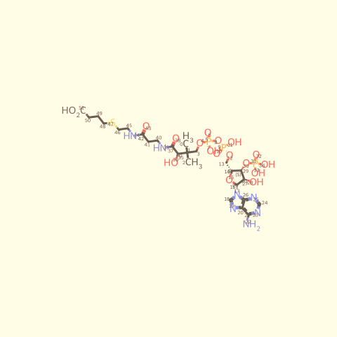 CC(C)(COP(=O)(O)OP(=O)(O)OC[C@H]1O[C@@H](n2cnc3c(N)ncnc32)[C@H](O)[C@@H]1OP(=O)(O)O)[C@@H](O)C(=O)NCCC(=O)NCCSCCCC(=O)O